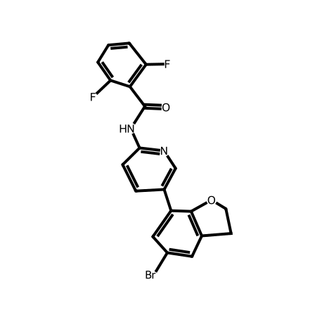 O=C(Nc1ccc(-c2cc(Br)cc3c2OCC3)cn1)c1c(F)cccc1F